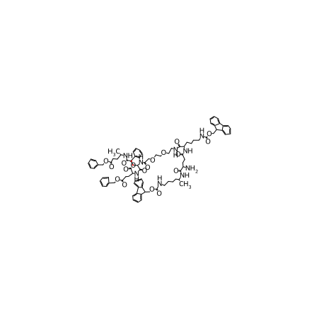 CC(CCC(=O)OCc1ccccc1)NC(=O)CCC(NC(=O)COCCOCCNC(=O)C(CCCCNC(=O)OCC1c2ccccc2-c2ccccc21)NC(=O)CCC(N)C(=O)NC(C)CCCCNC(=O)OCC1c2ccccc2-c2ccccc21)C(=O)NC(CCC(=O)OCc1ccccc1)C(=O)OCc1ccccc1